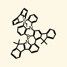 CC1(C)c2ccccc2-c2cc3c4c(c21)-c1cccc2c5c(n(c12)B4c1cccc2c1N3c1ccccc1[SH]21(I)c2ccccc2-c2ccccc21)C(C)(C)c1ccccc1-5